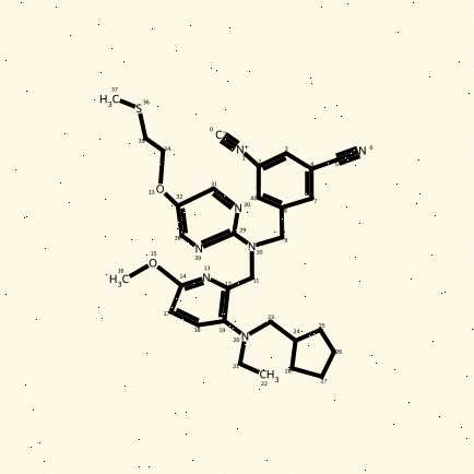 [C-]#[N+]c1cc(C#N)cc(CN(Cc2nc(OC)ccc2N(CC)CC2CCCC2)c2ncc(OCCSC)cn2)c1